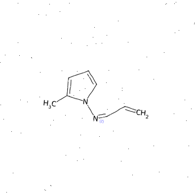 C=C/C=N\n1cccc1C